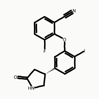 N#Cc1cccc(F)c1Oc1cc([C@@H]2CNC(=O)C2)ccc1I